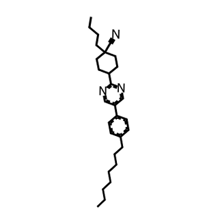 CCCCCCCCc1ccc(-c2cnc(C3CCC(C#N)(CCCC)CC3)nc2)cc1